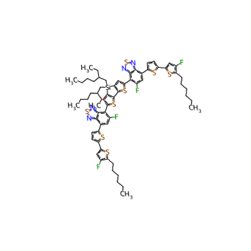 CCCCCCc1sc(-c2ccc(-c3cc(F)c(-c4cc5c(s4)-c4sc(-c6c(F)cc(-c7ccc(-c8cc(F)c(CCCCCC)s8)s7)c7nsnc67)cc4[Si]5(CC(CC)CCCC)CC(CC)CCCC)c4nsnc34)s2)cc1F